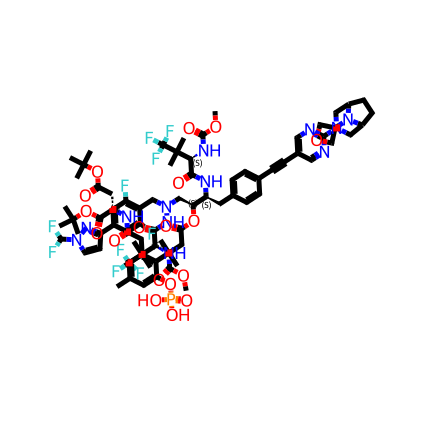 COC(=O)N[C@H](C(=O)N[C@@H](Cc1ccc(C#Cc2cnc(N3CC4CCC(C3)N4C3COC3)nc2)cc1)[C@H](CN(Cc1c(F)cc(-c2ccn(C(F)F)n2)cc1F)NC(=O)[C@@H](NC(=O)OC)C(C)(C)C(F)(F)F)OC(=O)CC(C)(C)c1c(CC(=O)N[C@@H](CC(=O)OC(C)(C)C)C(=O)OC(C)(C)C)cc(C)cc1OP(=O)(O)O)C(C)(C)C(F)(F)F